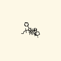 CCCC(C)(C)C1=NN(C(=O)NC2(C)[C@H]3CC[C@]2(C)CC3)CC1c1ccccc1